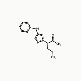 CCCC(C(C)=O)n1cc(Nc2ncccn2)cn1